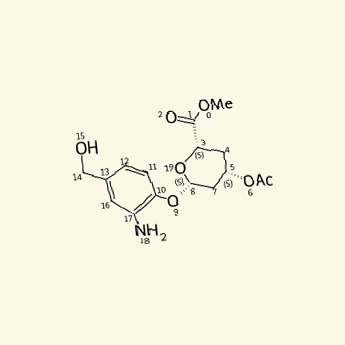 COC(=O)[C@@H]1C[C@H](OC(C)=O)C[C@H](Oc2ccc(CO)cc2N)O1